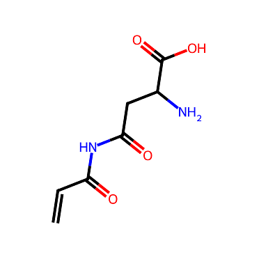 C=CC(=O)NC(=O)CC(N)C(=O)O